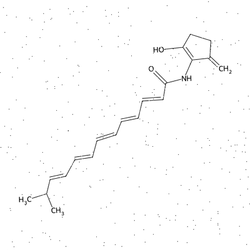 C=C1CCC(O)=C1NC(=O)/C=C/C=C/C=C/C=C/C=C/C(C)C